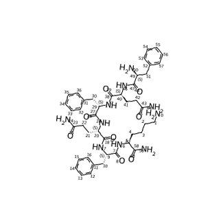 NCCCC[C@H](NC(=O)[C@H](Cc1ccccc1)NC(=O)[C@H](CCC(N)=O)NC(=O)[C@H](Cc1ccccc1)NC(=O)[C@H](CCC(N)=O)NC(=O)[C@@H](N)Cc1ccccc1)C(N)=O